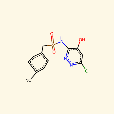 N#Cc1ccc(CS(=O)(=O)Nc2nnc(Cl)cc2O)cc1